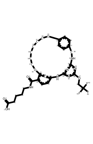 O=C(O)CCCCNC(=O)c1ccc2cc1OCCCCCCOc1ccc(cc1)CNc1nc(nc(OCC(F)(F)F)n1)N2